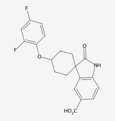 O=C(O)c1ccc2c(c1)C1(CCC(Oc3ccc(F)cc3F)CC1)C(=O)N2